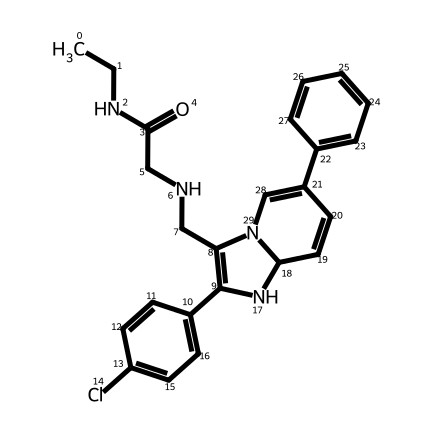 CCNC(=O)CNCC1=C(c2ccc(Cl)cc2)NC2C=CC(c3ccccc3)=CN12